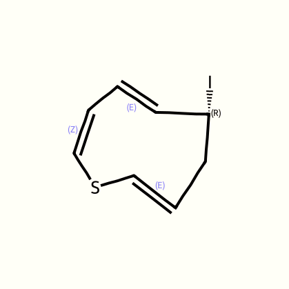 I[C@H]1/C=C/C=C\S/C=C/C1